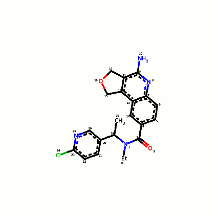 CCN(C(=O)c1ccc2nc(N)c3c(c2c1)COC3)C(C)c1ccc(Cl)nc1